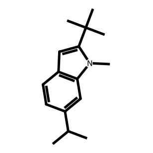 CC(C)c1ccc2cc(C(C)(C)C)n(C)c2c1